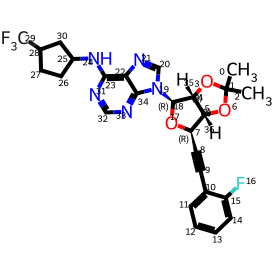 CC1(C)O[C@@H]2[C@H](O1)[C@@H](C#Cc1ccccc1F)O[C@H]2n1cnc2c(NC3CCC(C(F)(F)F)C3)ncnc21